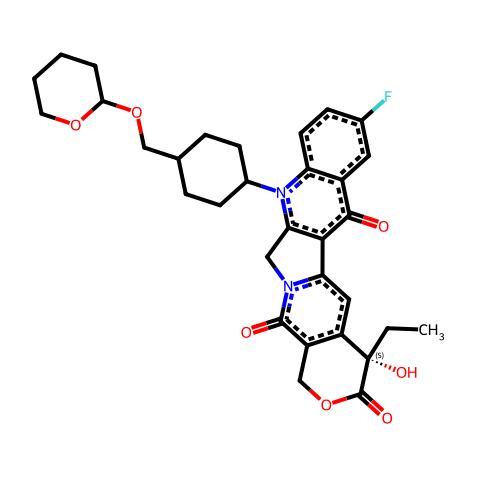 CC[C@@]1(O)C(=O)OCc2c1cc1n(c2=O)Cc2c-1c(=O)c1cc(F)ccc1n2C1CCC(COC2CCCCO2)CC1